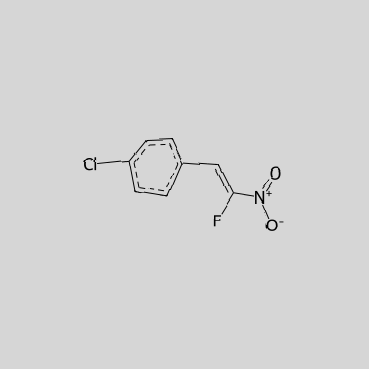 O=[N+]([O-])C(F)=Cc1ccc(Cl)cc1